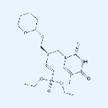 CCOP(=O)(C=C[C@@H](CO[C@H]1CCCCO1)Cn1cc(C)c(=O)[nH]c1=O)OCC